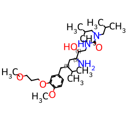 COCCCOc1cc(C[C@@H](C[C@H](N)[C@@H](O)CNC(=O)N(CC(C)C)CC(C)C)C(C)C)ccc1OC